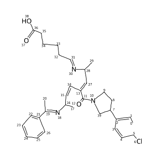 C/C=C(\C=C/CCl)C1CCN(C(=O)C(/C=C\C(C)/N=C(\C)c2ccccc2)=C/C(C)/N=C/CCCCC(=O)O)C1